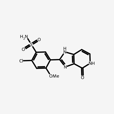 COc1cc(Cl)c(S(N)(=O)=O)cc1-c1nc2c(=O)[nH]ccc2[nH]1